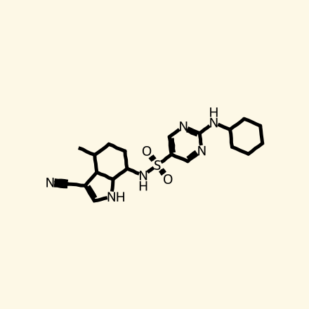 CC1CCC(NS(=O)(=O)c2cnc(NC3CCCCC3)nc2)C2NC=C(C#N)C12